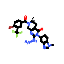 C[C@@H]1Cc2c(nc(NN)n(-c3ccc4c(c3)ncn4C)c2=O)CN1C(=O)c1ccc(Br)c(C(F)(F)F)c1